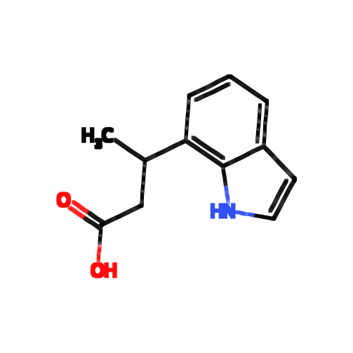 CC(CC(=O)O)c1cccc2cc[nH]c12